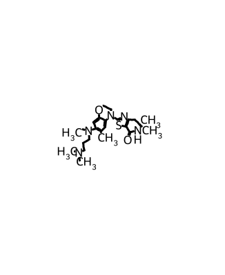 CCN(CCCN(C)C)c1cc2c(cc1C)N(c1nc3c(s1)C(=O)NC(C)(C)C3)CCO2